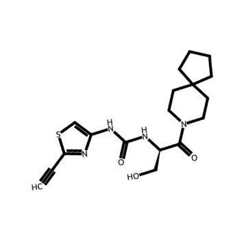 C#Cc1nc(NC(=O)N[C@H](CO)C(=O)N2CCC3(CCCC3)CC2)cs1